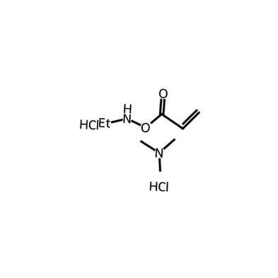 C=CC(=O)ONCC.CN(C)C.Cl.Cl